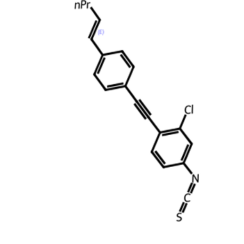 CCC/C=C/c1ccc(C#Cc2ccc(N=C=S)cc2Cl)cc1